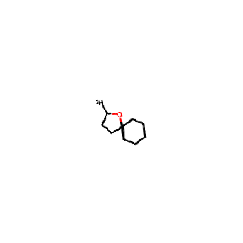 [2H]C1CCC2(CCCCC2)O1